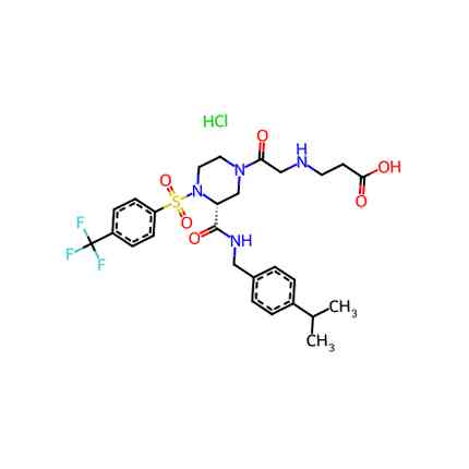 CC(C)c1ccc(CNC(=O)[C@H]2CN(C(=O)CNCCC(=O)O)CCN2S(=O)(=O)c2ccc(C(F)(F)F)cc2)cc1.Cl